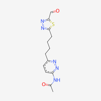 CC(=O)Nc1ccc(CCCCc2nnc(C=O)s2)nn1